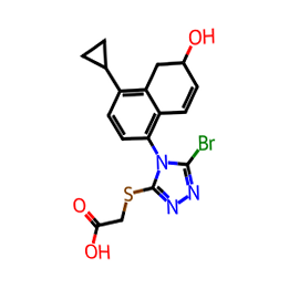 O=C(O)CSc1nnc(Br)n1-c1ccc(C2CC2)c2c1C=CC(O)C2